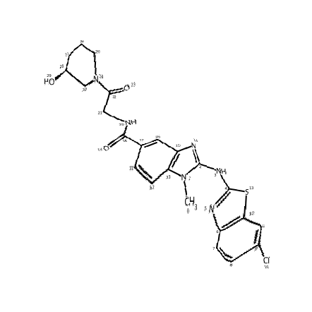 Cn1c(Nc2nc3ccc(Cl)cc3s2)nc2cc(C(=O)NCC(=O)N3CCC[C@H](O)C3)ccc21